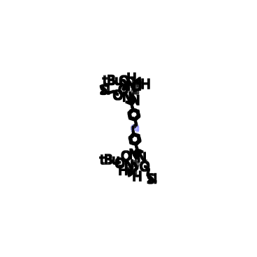 CC(C)(C)OC(=O)N1[C@@H]2C[C@@H]2C[C@H]1c1nc(-c2ccc(/C=C/c3ccc(-c4cn(COCC[Si](C)(C)C)c([C@@H]5C[C@H]6C[C@H]6N5C(=O)OC(C)(C)C)n4)cc3)cc2)cn1COCC[Si](C)(C)C